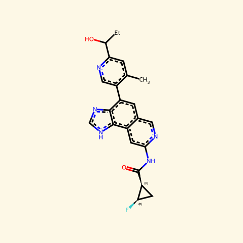 CCC(O)c1cc(C)c(-c2cc3cnc(NC(=O)[C@H]4C[C@H]4F)cc3c3[nH]cnc23)cn1